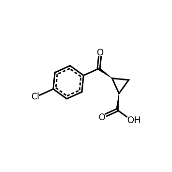 O=C(c1ccc(Cl)cc1)[C@H]1C[C@H]1C(=O)O